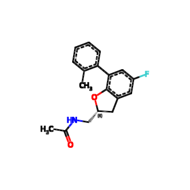 CC(=O)NC[C@H]1Cc2cc(F)cc(-c3ccccc3C)c2O1